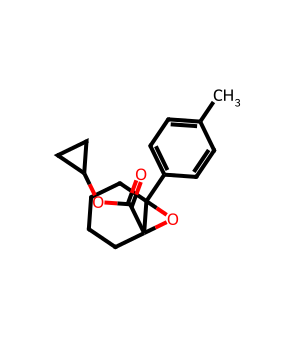 Cc1ccc(C23CCCCC2(C(=O)OC2CC2)O3)cc1